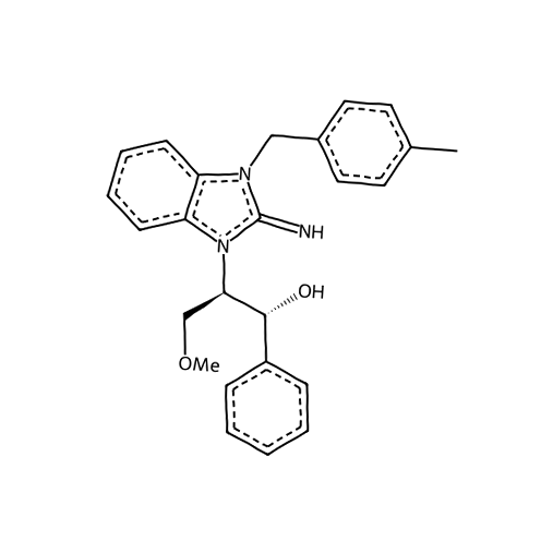 COC[C@H]([C@H](O)c1ccccc1)n1c(=N)n(Cc2ccc(C)cc2)c2ccccc21